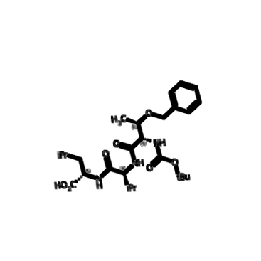 CC(C)C[C@H](NC(=O)[C@@H](NC(=O)[C@@H](NC(=O)OC(C)(C)C)[C@@H](C)OCc1ccccc1)C(C)C)C(=O)O